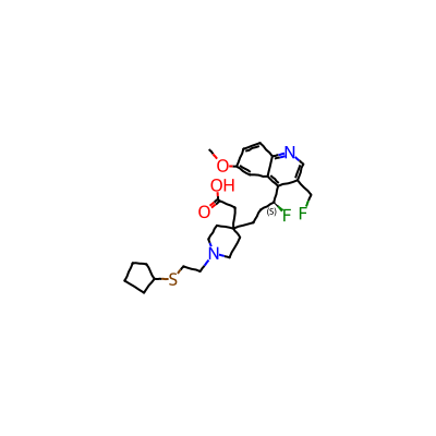 COc1ccc2ncc(CF)c([C@@H](F)CCC3(CC(=O)O)CCN(CCSC4CCCC4)CC3)c2c1